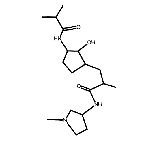 CC(C)C(=O)NC1CCC(CC(C)C(=O)NC2CCN(C)C2)C1O